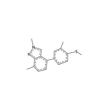 CSc1ccc(-c2ccc(C)c3nn(C)cc23)cc1C